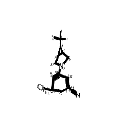 CC(C)(C)C1C2CN(c3cc(Cl)cc(C#N)c3)CC21